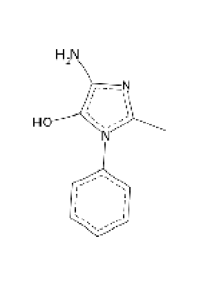 Cc1nc(N)c(O)n1-c1ccccc1